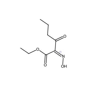 CCCC(=O)/C(=N/O)C(=O)OCC